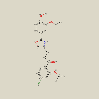 CCOc1cc(-c2nc(CCC(=O)c3ccc(F)cc3OC(C)C)co2)ccc1OC